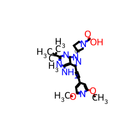 COc1cc(C#Cc2nn([C@H]3CCN(C(=O)O)C3)c3nc(C(C)(C)C)nc(N)c23)cc(OC)n1